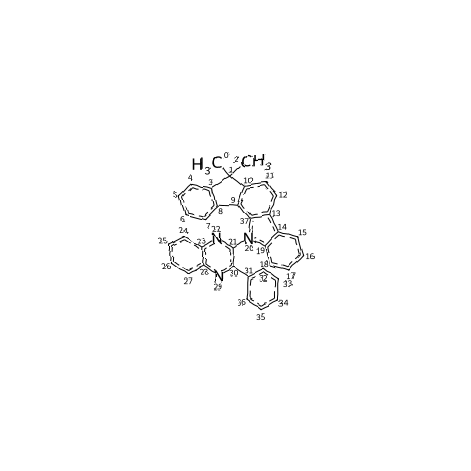 CC1(C)c2ccccc2-c2c1ccc1c3ccccc3n(-c3nc4ccccc4nc3-c3ccccc3)c21